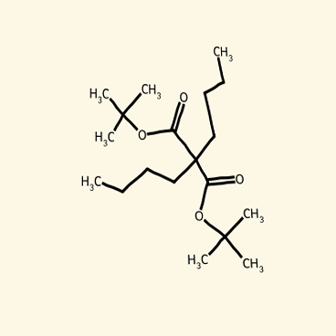 CCCCC(CCCC)(C(=O)OC(C)(C)C)C(=O)OC(C)(C)C